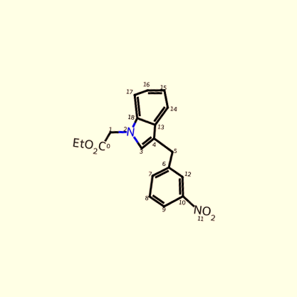 CCOC(=O)Cn1cc(Cc2cccc([N+](=O)[O-])c2)c2ccccc21